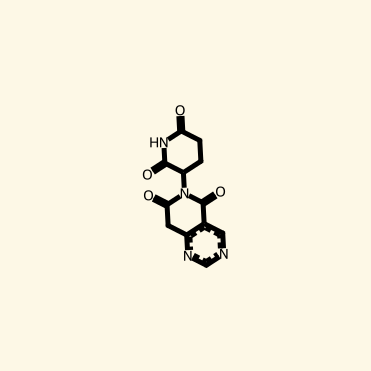 O=C1CCC(N2C(=O)Cc3ncncc3C2=O)C(=O)N1